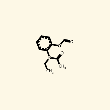 CCN(C(C)=O)c1ccccc1OC=O